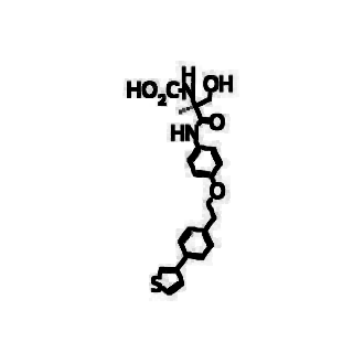 C[C@@](CO)(NC(=O)O)C(=O)Nc1ccc(OCCc2ccc(-c3ccsc3)cc2)cc1